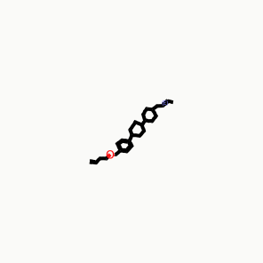 C=CCCOCc1ccc(C2CCC(C3CCC(C/C=C/C)CC3)CC2)cc1